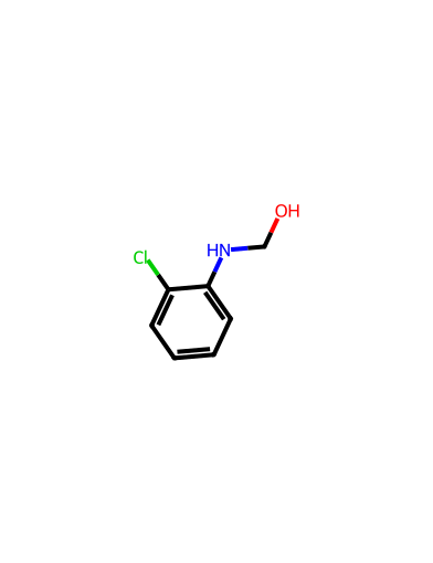 OCNc1ccccc1Cl